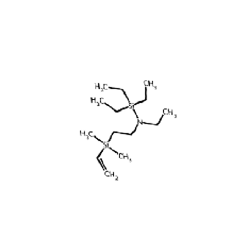 C=C[Si](C)(C)CCN(CC)[Si](CC)(CC)CC